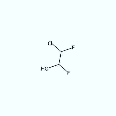 OC(F)C(F)Cl